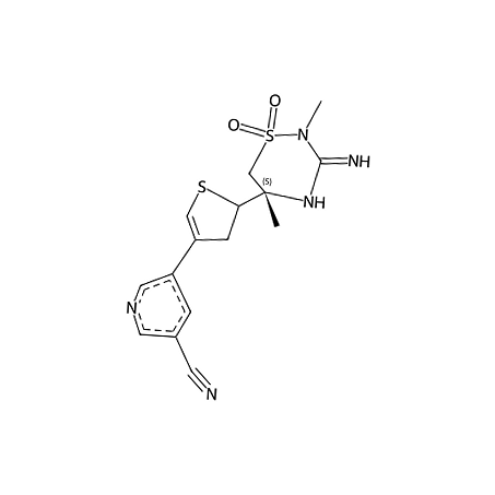 CN1C(=N)N[C@](C)(C2CC(c3cncc(C#N)c3)=CS2)CS1(=O)=O